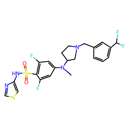 CN(c1cc(F)c(S(=O)(=O)Nc2cscn2)c(F)c1)C1CCN(Cc2cccc(C(F)F)c2)C1